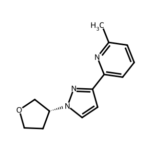 Cc1cccc(-c2ccn([C@@H]3CCOC3)n2)n1